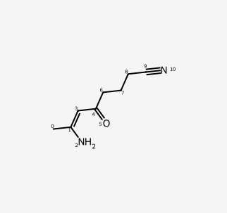 C/C(N)=C/C(=O)CCCC#N